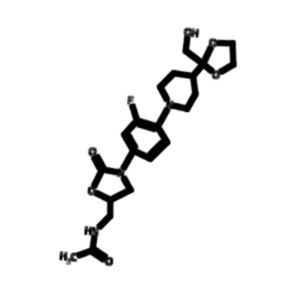 CC(=O)NCC1CN(c2ccc(N3CCC(C4(CO)OCCO4)CC3)c(F)c2)C(=O)O1